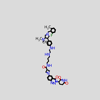 Cc1cccc(F)c1CN1CC(c2ccc(NCCNCCCCNC(=O)C3CN(c4ccc5nnn(C6CCC(=O)NC6=O)c(=O)c5c4)C3)cc2)[C@@H](N(C)C)C1